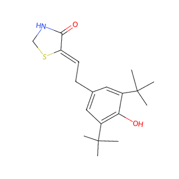 CC(C)(C)c1cc(CC=C2SCNC2=O)cc(C(C)(C)C)c1O